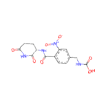 O=C(O)NCc1ccc(C(=O)NC2CCC(=O)NC2=O)c([N+](=O)[O-])c1